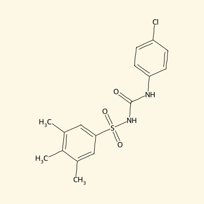 Cc1cc(S(=O)(=O)NC(=O)Nc2ccc(Cl)cc2)cc(C)c1C